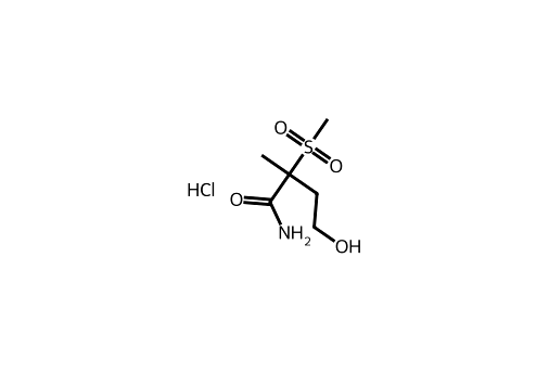 CC(CCO)(C(N)=O)S(C)(=O)=O.Cl